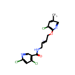 O=C(NC/C=C/COc1ncc(C(F)(F)F)cc1Cl)c1cnc(Cl)cc1Cl